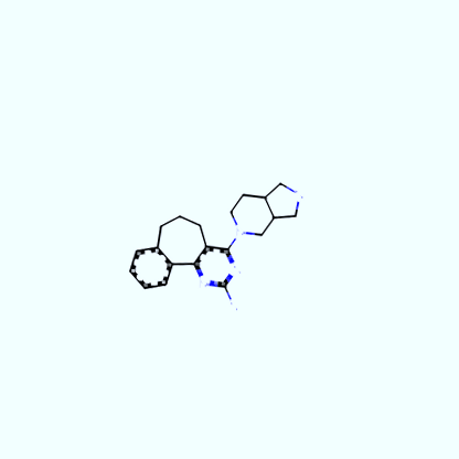 Nc1nc2c(c(N3CCC4CNCC4C3)n1)CCCc1ccccc1-2